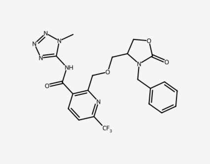 Cn1nnnc1NC(=O)c1ccc(C(F)(F)F)nc1COCC1COC(=O)N1Cc1ccccc1